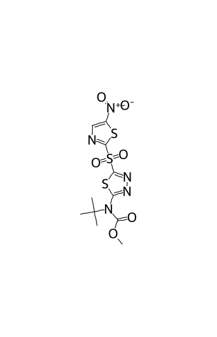 COC(=O)N(c1nnc(S(=O)(=O)c2ncc([N+](=O)[O-])s2)s1)C(C)(C)C